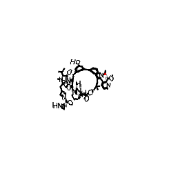 CCn1c(-c2cccnc2[C@H](C)OC)c2c3cc(ccc31)-c1cc(O)cc(c1)C[C@H](NC(=O)C(C(C)C)N(C)C(=O)CC1CN(C(=O)[C@@H]3CN3)C1)C(=O)N1CCC[C@H](N1)C(=O)OCC(C)(C)C2